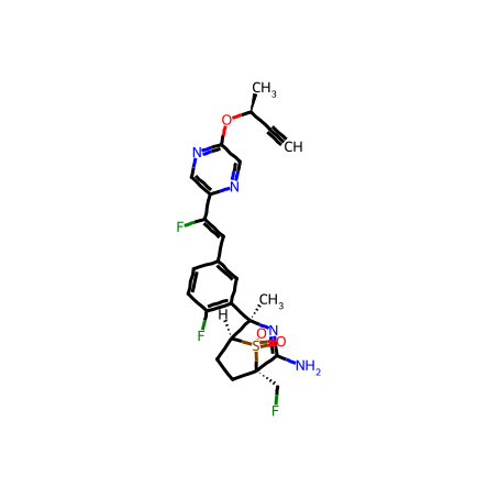 C#C[C@H](C)Oc1cnc(/C(F)=C/c2ccc(F)c([C@@]3(C)N=C(N)[C@@]4(CF)CC[C@@H]3S4(=O)=O)c2)cn1